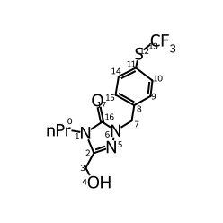 CCCn1c(CO)nn(Cc2ccc(SC(F)(F)F)cc2)c1=O